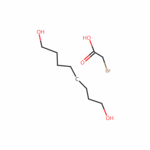 O=C(O)CBr.OCCCCCCCCO